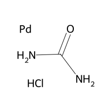 Cl.NC(N)=O.[Pd]